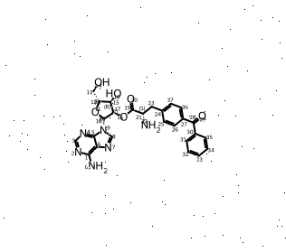 Nc1ncnc2c1ncn2[C@@H]1O[C@H](CO)[C@@H](O)[C@H]1OC(=O)[C@@H](N)Cc1ccc(C(=O)c2ccccc2)cc1